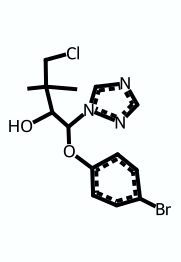 CC(C)(CCl)C(O)C(Oc1ccc(Br)cc1)n1cncn1